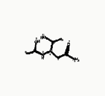 CC(O)NN(CC(N)=O)C(C)O